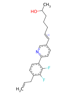 C=CCc1ccc(-c2ccc(/C=C/CCCC(C)O)cn2)c(F)c1F